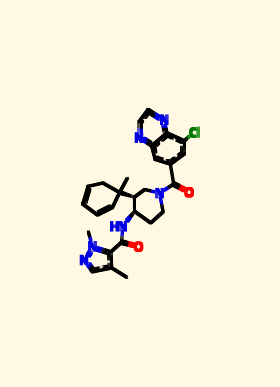 Cc1cnn(C)c1C(=O)N[C@@H]1CCN(C(=O)c2cc(Cl)c3nccnc3c2)C[C@@H]1C1(C)C=CC=CC1